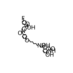 O=C(c1ccc(OCCCCCCNCC(O)c2ccc(O)c3[nH]c(=O)ccc23)cc1)N1CCC(C(=O)O)(c2ccc(F)cc2)CC1